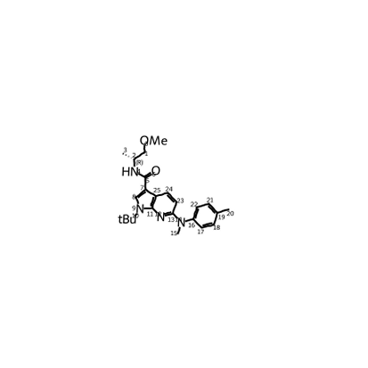 COC[C@@H](C)NC(=O)c1cn(C(C)(C)C)c2nc(N(C)c3ccc(C)cc3)ccc12